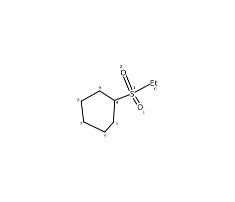 [CH2]CS(=O)(=O)C1CCCCC1